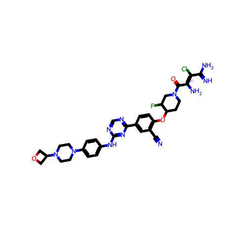 N#Cc1cc(-c2ncnc(Nc3ccc(N4CCN(C5COC5)CC4)cc3)n2)ccc1OC1CCN(C(=O)/C(N)=C(\Cl)C(=N)N)CC1F